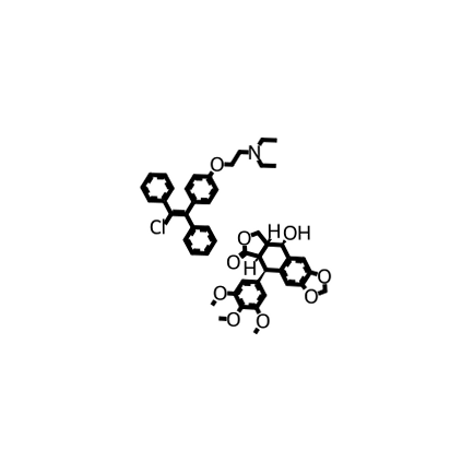 CCN(CC)CCOc1ccc(/C(=C(/Cl)c2ccccc2)c2ccccc2)cc1.COc1cc([C@@H]2c3cc4c(cc3[C@H](O)[C@H]3COC(=O)[C@H]23)OCO4)cc(OC)c1OC